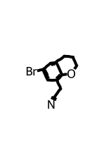 N#CCc1cc(Br)cc2c1OCCC2